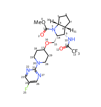 COC(=O)N1[C@@H]2CCC[C@@H]2[C@H](NC(=O)C(F)(F)F)[C@@H]1COC1CCN(c2ncc(F)cn2)CC1